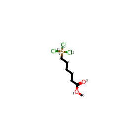 COC(=O)CCCCCS(Cl)(Cl)Cl